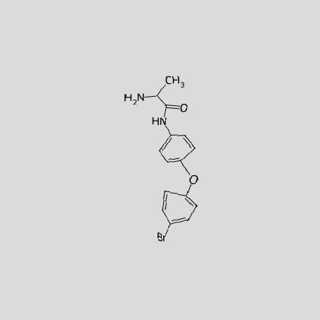 CC(N)C(=O)Nc1ccc(Oc2ccc(Br)cc2)cc1